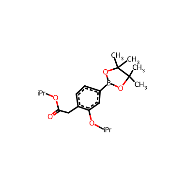 CC(C)OC(=O)Cc1ccc(B2OC(C)(C)C(C)(C)O2)cc1OC(C)C